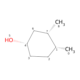 C[C@@H]1CC[C@H](O)C[C@@H]1C